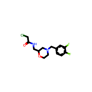 O=C(CCl)NCC1CN(Cc2ccc(F)c(F)c2)CCO1